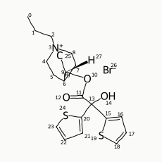 CCC[N+]12CCC(CC1)[C@@H](OC(=O)C(O)(c1cccs1)c1cccs1)C2.[Br-]